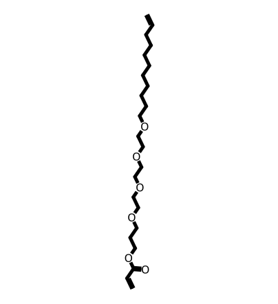 C=CCCCCCCCCCOCCOCCOCCOCCCOC(=O)C=C